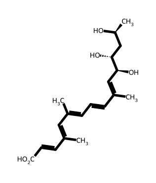 CC(=CC=CC(C)=C[C@H](O)[C@H](O)C[C@H](C)O)C=C(C)C=CC(=O)O